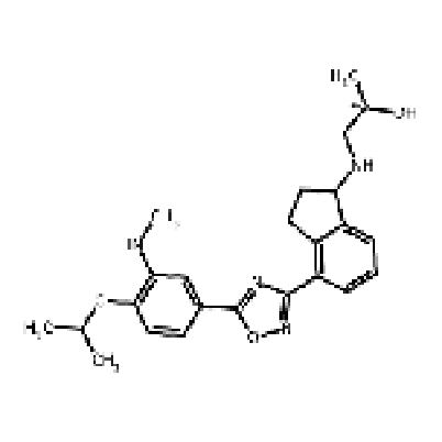 CNc1cc(-c2nc(-c3cccc4c3CCC4NC[C@@H](C)O)no2)ccc1OC(C)C